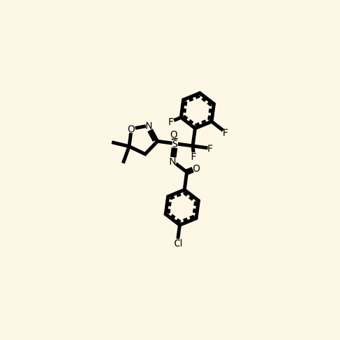 CC1(C)CC(S(=O)(=NC(=O)c2ccc(Cl)cc2)C(F)(F)c2c(F)cccc2F)=NO1